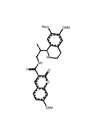 COc1ccc2cc(C(=O)NCC(C)C3NCCc4cc(OC)c(OC)cc43)c(=O)oc2c1